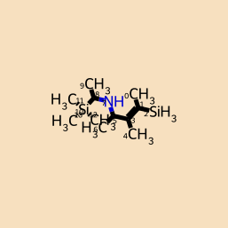 CC([SiH3])=C(C)C(C)NC(C)[Si](C)(C)C